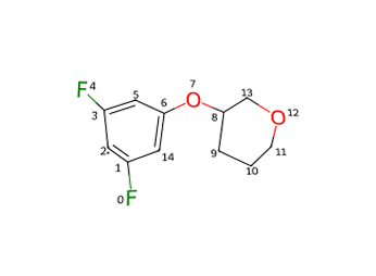 Fc1[c]c(F)cc(OC2CCCOC2)c1